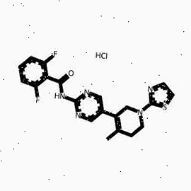 CC1=C(c2cnc(NC(=O)c3c(F)cccc3F)nc2)CN(c2nccs2)CC1.Cl